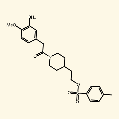 Bc1cc(CC(=O)N2CCC(CCOS(=O)(=O)c3ccc(C)cc3)CC2)ccc1OC